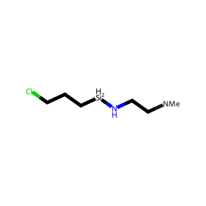 CNCCN[SiH2]CCCCl